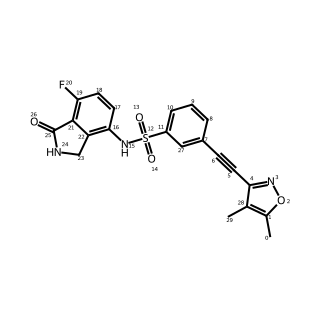 Cc1onc(C#Cc2cccc(S(=O)(=O)Nc3ccc(F)c4c3CNC4=O)c2)c1C